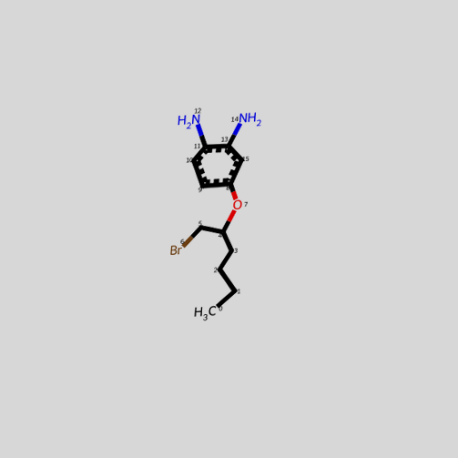 CCCCC(CBr)Oc1ccc(N)c(N)c1